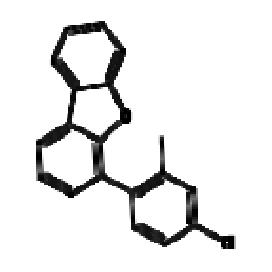 Cc1cc(Cl)ccc1-c1cccc2c1oc1ccccc12